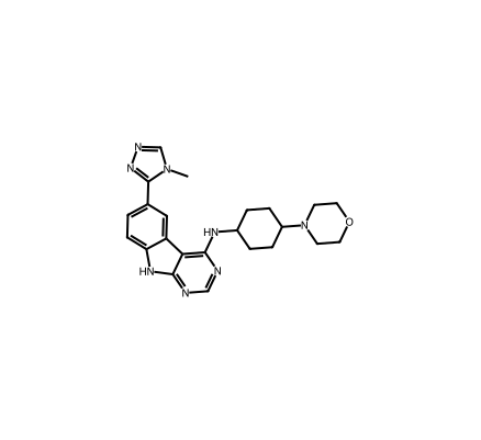 Cn1cnnc1-c1ccc2[nH]c3ncnc(NC4CCC(N5CCOCC5)CC4)c3c2c1